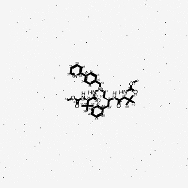 COC(=O)N[C@@H](C(=O)N[C@H](CCN(Cc1ccc(-c2ccccn2)cc1)NC(=O)[C@H](NC(=O)OC)C(C)(C)C)Cc1ccccc1)C(C)(C)C